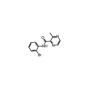 Cc1nccnc1C(=O)Nc1ccccc1Br